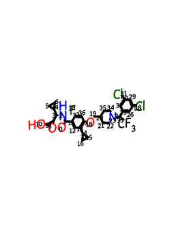 O=C(N[C@@H](C1CC1)C1OC1O)c1cc(C2CC2)c(OCC2CCN(C(c3cc(Cl)cc(Cl)c3)C(F)(F)F)CC2)cc1F